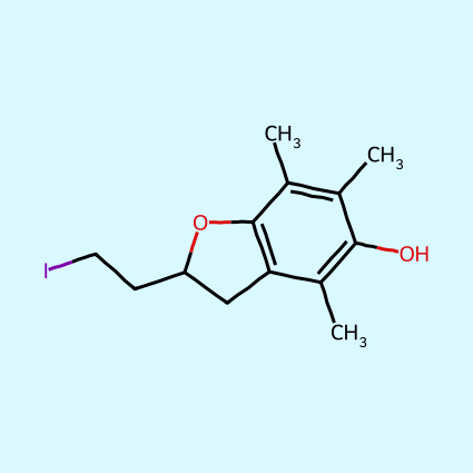 Cc1c(C)c2c(c(C)c1O)CC(CCI)O2